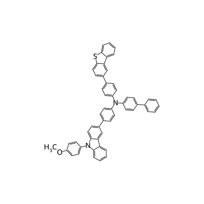 COc1ccc(-n2c3ccccc3c3cc(-c4ccc(N(c5ccc(-c6ccccc6)cc5)c5ccc(-c6ccc7sc8ccccc8c7c6)cc5)cc4)ccc32)cc1